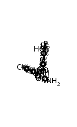 NC1CCN(C(=O)C(NC(=O)C(=O)c2ccc(OCC3CCCCC3)cc2)C(F)(F)c2ccc(-c3ccc(Cl)cc3)cc2)CC1.O=C(O)C(F)(F)F